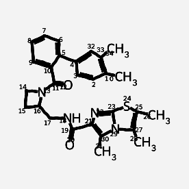 Cc1ccc(-c2ccccc2C(=O)N2CCC2CNC(=O)c2nc3sc(C)c(C)n3c2C)cc1C